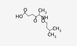 CC(C)CCONC(C)C(=O)CCC(=O)O